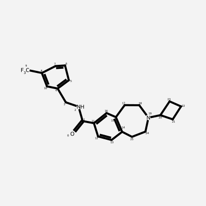 O=C(NCc1cccc(C(F)(F)F)c1)c1ccc2c(c1)CCN(C1CCC1)CC2